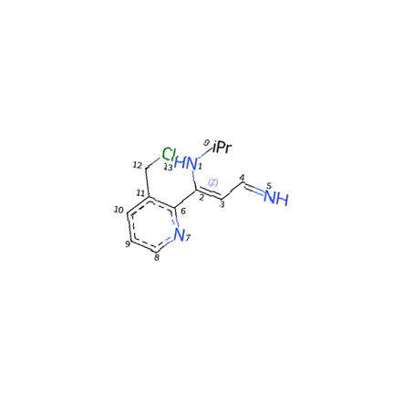 CC(C)N/C(=C\C=N)c1ncccc1CCl